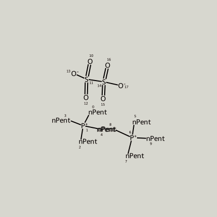 CCCCC[P+](CCCCC)(CCCCC)CCCCC.CCCCC[P+](CCCCC)(CCCCC)CCCCC.O=S(=O)([O-])S(=O)(=O)[O-]